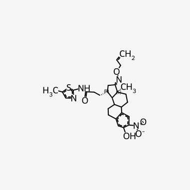 C=CCON=C1C[C@@H](CCC(=O)Nc2ncc(C)s2)C2C3CCc4cc(O)c([N+](=O)[O-])cc4C3CC[C@]12C